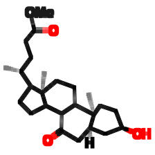 COC(=O)CC[C@@H](C)C1CCC2C3C(=O)C[C@@H]4C[C@H](O)CC[C@]4(C)C3CC[C@@]21C